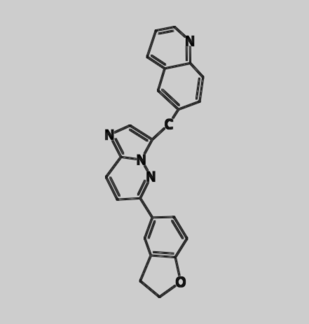 c1cnc2ccc(Cc3cnc4ccc(-c5ccc6c(c5)CCO6)nn34)cc2c1